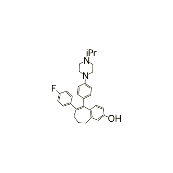 CC(C)N1CCN(c2ccc(C3=C(c4ccc(F)cc4)CCCc4cc(O)ccc43)cc2)CC1